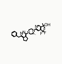 C[C@@H]1CN(c2nnc(Cc3ccccc3)c3c2CCC3)CCN1c1cc(C(F)(F)F)c(C(C)(C)O)cn1